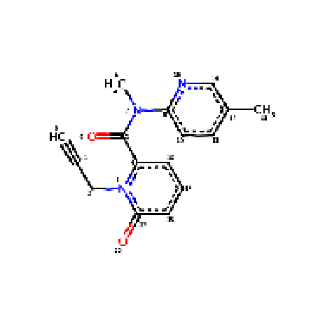 C#CCn1c(C(=O)N(C)c2ccc(C)cn2)cccc1=O